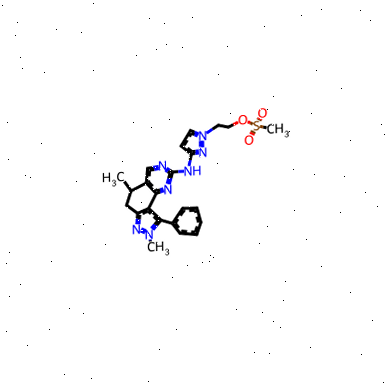 CC1Cc2nn(C)c(-c3ccccc3)c2-c2nc(Nc3ccn(CCOS(C)(=O)=O)n3)ncc21